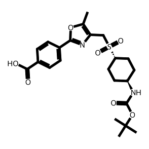 Cc1oc(-c2ccc(C(=O)O)cc2)nc1CS(=O)(=O)[C@H]1CC[C@H](NC(=O)OC(C)(C)C)CC1